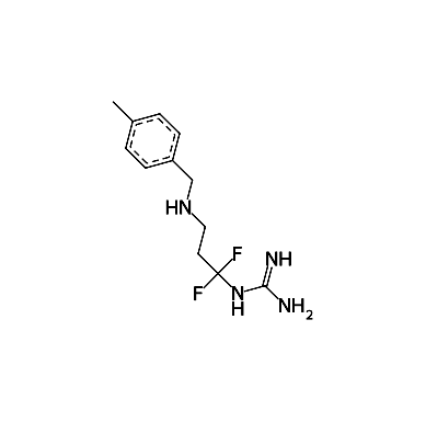 Cc1ccc(CNCCC(F)(F)NC(=N)N)cc1